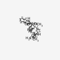 COc1c(CN2CCC(NC(=O)OC(C)(C)C)C2)cc(S(F)(F)(F)(F)F)cc1NC(=O)NC1Cc2ccccc2C1O